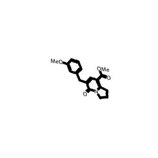 COC(=O)c1cc(Cc2cccc(OC)c2)c(=O)n2c1CCC2